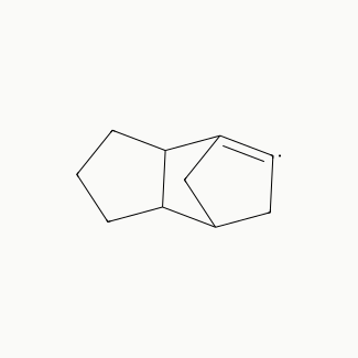 [C]1=C2CC(C1)C1CCCC21